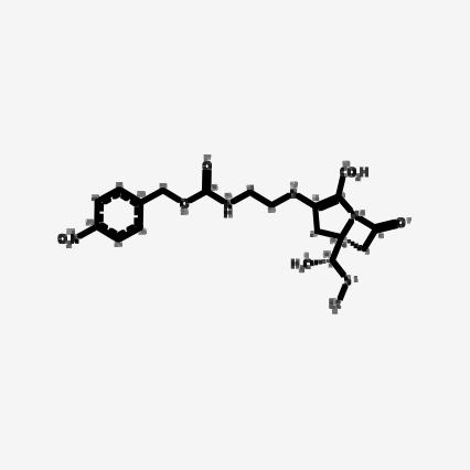 CCS[C@H](C)[C@]12CC(=O)N1C(C(=O)O)=C(SCCNC(=O)OCc1ccc([N+](=O)[O-])cc1)C2